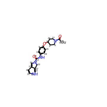 CCC(C)C(=O)N1CCC(Oc2ccc(NC(=O)N3C=C4C=CNC=C4C3)cc2)CC1